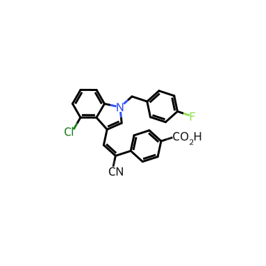 N#CC(=Cc1cn(Cc2ccc(F)cc2)c2cccc(Cl)c12)c1ccc(C(=O)O)cc1